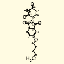 C=CCCCOc1ccc2c(c1)C(=O)N(C1CCC(=O)NC1=O)C2=O